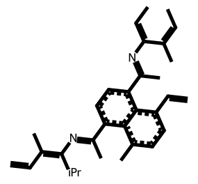 C=C/C(C)=C(/N=C(\C)c1ccc(/C(C)=N/C(=C/C)C(/C)=C\C)c2c(C=C)ccc(C)c12)C(C)C